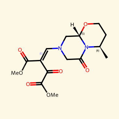 COC(=O)C(=O)/C(=C\N1CC(=O)N2[C@H](C)CCO[C@H]2C1)C(=O)OC